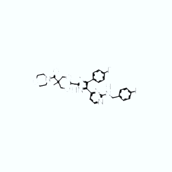 CC1(C(=O)N2CCOCC2)COC(c2nc(-c3ccc(F)cc3)c(-c3ccnc(NCc4ccc(F)cc4)n3)[nH]2)OC1